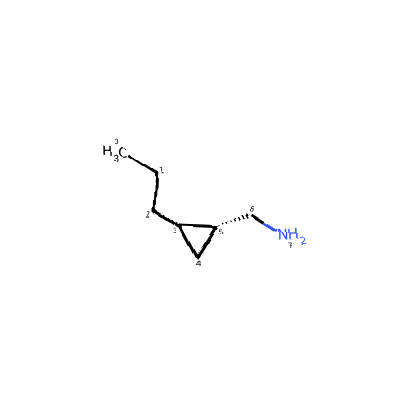 CCCC1C[C@H]1CN